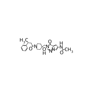 CC(=O)Nc1cc2c(=O)n(CC3(O)CCN(C(=O)CC(C)c4ccccc4)CC3)cnn2c1